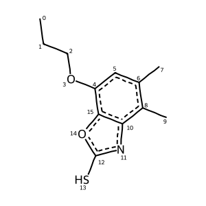 CCCOc1cc(C)c(C)c2nc(S)oc12